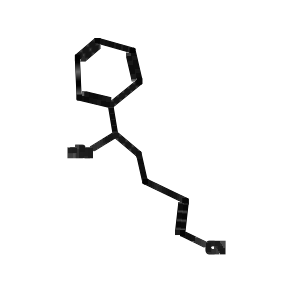 CCCCC(CC/C=C/C#N)c1ccccc1